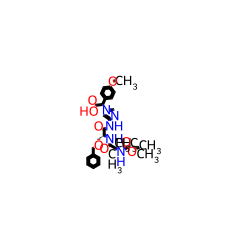 COc1ccc(C(C(=O)O)n2cnc(NC(=O)[C@@H](COCc3ccccc3)NC(=O)C(C)(C)NC(=O)OC(C)(C)C)c2)cc1